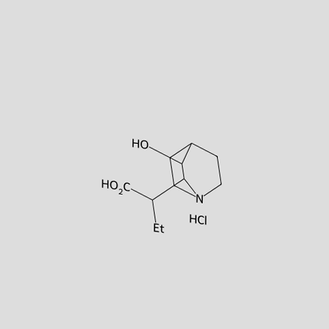 CCC(C(=O)O)C1C(O)C2CCN1CC2.Cl